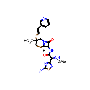 CONC(C(=O)NC1C(=O)N2CC(SC=Cc3cccnc3)(C(=O)O)CS[C@H]12)c1nsc(N)n1